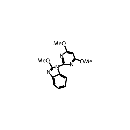 COc1cc(OC)nc(-n2c(OC)nc3ccccc32)n1